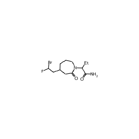 CCC(C(N)=O)N1CCCC(CC(F)Br)CC1=O